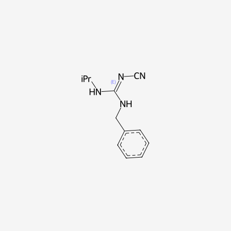 CC(C)N/C(=N/C#N)NCc1ccccc1